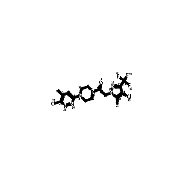 Cc1cc(N2CCN(C(=O)Cn3nc(C(F)(F)F)c(Cl)c3C)CC2)nnc1Cl